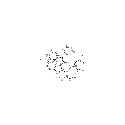 CCc1ccc2c(c1)[CH]([Zr]([C]1=CC(C(C)C)=C(C(C)C)C1)=[C](c1ccccc1)c1ccccc1)c1cc(CC)ccc1-2